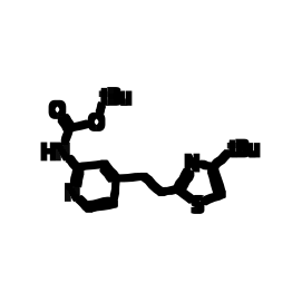 CC(C)(C)OC(=O)Nc1cc(CCc2nc(C(C)(C)C)cs2)ccn1